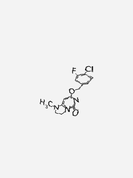 CN1CCn2c1cc(OCc1ccc(Cl)c(F)c1)nc2=O